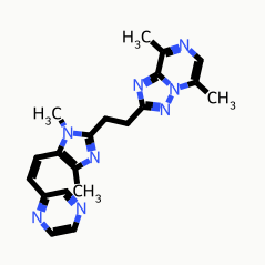 Cc1nc(CCc2nc3c(C)ncc(C)n3n2)n(C)c1/C=C\c1cnccn1